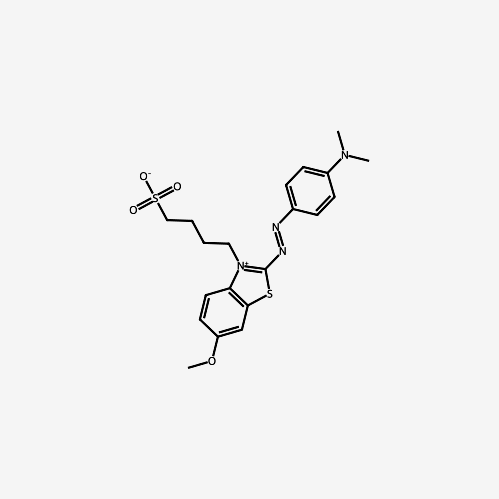 COc1ccc2c(c1)sc(/N=N/c1ccc(N(C)C)cc1)[n+]2CCCCS(=O)(=O)[O-]